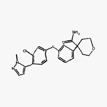 Cn1nccc1-c1ccc(Sc2cccc(C3(C(N)=O)CCOCC3)c2)cc1Cl